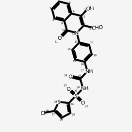 O=Cc1c(O)c2ccccc2c(=O)n1-c1ccc(NC(=O)NS(=O)(=O)c2ccc(Cl)s2)cc1